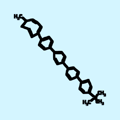 CC1\C=C/C=C(c2ccc(-c3ccc(-c4ccc(-c5ccc([Si](C)(C)C)cc5)cc4)cc3)cc2)\C=C\C1